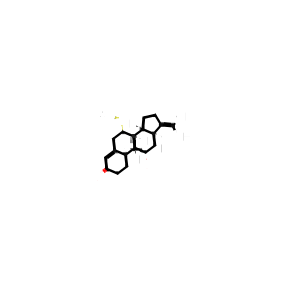 CC(=O)S[C@@H]1CC2=CC(=O)CC[C@]2(C)[C@@H]2[C@@H]1[C@@H]1CCC(=C(C)C)[C@@]1(C)C[C@@H]2O